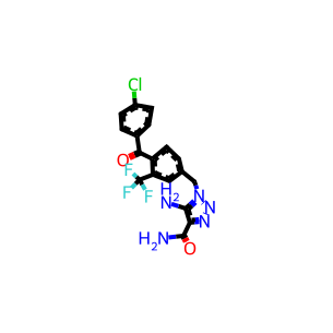 NC(=O)c1nnn(Cc2ccc(C(=O)c3ccc(Cl)cc3)c(C(F)(F)F)c2)c1N